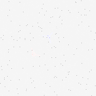 CC(=O)N1C[C]Oc2ccccc21